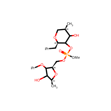 COP(=O)(OC[C@H]1O[C@@H](C)C(O)C1OC(C)C)OC1C(O)[C@H](C)CO[C@@H]1CC(C)C